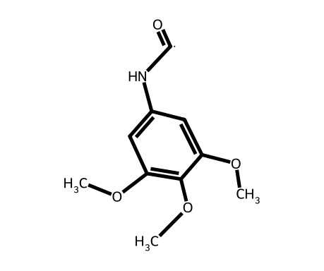 COc1cc(N[C]=O)cc(OC)c1OC